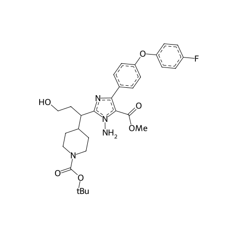 COC(=O)c1c(-c2ccc(Oc3ccc(F)cc3)cc2)nc(C(CCO)C2CCN(C(=O)OC(C)(C)C)CC2)n1N